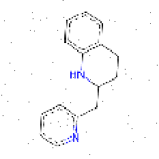 c1ccc(CC2CCc3ccccc3N2)nc1